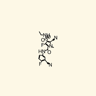 CCNS(=O)(=O)c1c(F)c(C(=O)Nc2ccc(F)c(C#N)c2)n(C)c1C#N